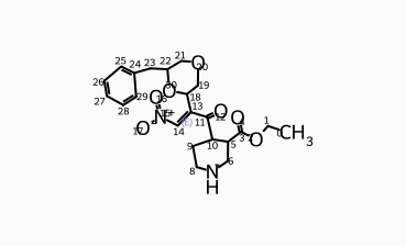 CCOC(=O)C1CNCCC1C(=O)/C(=C/[N+](=O)[O-])C1COCC(Cc2ccccc2)O1